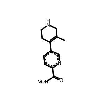 CNC(=O)c1ccc(C2=C(C)CNCC2)cn1